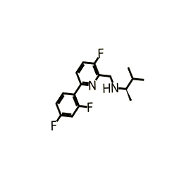 CC(C)[C@@H](C)NCc1nc(-c2ccc(F)cc2F)ccc1F